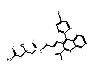 CC(C)c1nc2ccccc2c(-c2ccc(F)cc2)c1C=CCO[PH](=O)CC(O)CC(=O)O